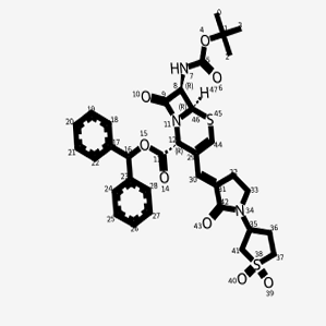 CC(C)(C)OC(=O)N[C@@H]1C(=O)N2[C@@H](C(=O)OC(c3ccccc3)c3ccccc3)C(C=C3CCN(C4CCS(=O)(=O)C4)C3=O)=CS[C@H]12